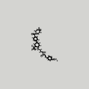 Nc1ccc(/C=C/C(=O)NCCOc2ccc(-c3ccc(C(=O)N4CCC(F)(F)CC4)cn3)cc2C(F)(F)F)cn1